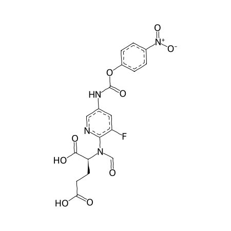 O=CN(c1ncc(NC(=O)Oc2ccc([N+](=O)[O-])cc2)cc1F)[C@@H](CCC(=O)O)C(=O)O